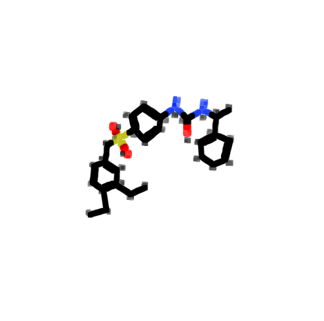 CCc1ccc(CS(=O)(=O)c2ccc(NC(=O)NC(C)C3=CCCC=C3)cc2)cc1CC